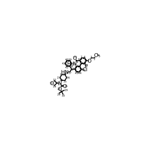 COCCOc1ccc(C(N)=O)c(-c2cc(C(CNC3CCC(N(C(=O)OC(C)(C)C)C4COC4)CC3)c3ccccc3)ccc2Cl)c1F